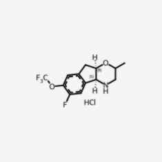 CC1CN[C@H]2c3cc(F)c(OC(F)(F)F)cc3C[C@H]2O1.Cl